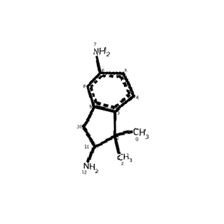 CC1(C)c2ccc(N)cc2CC1N